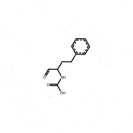 O=CC(CCc1ccccc1)NC(=O)O